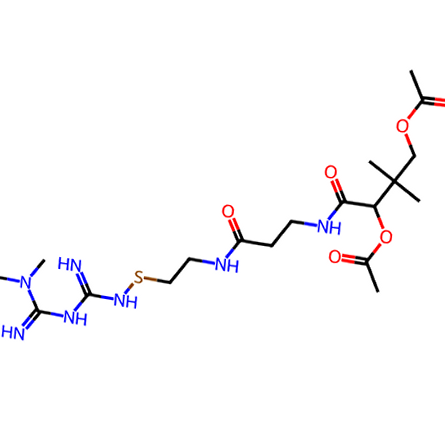 CC(=O)OCC(C)(C)C(OC(C)=O)C(=O)NCCC(=O)NCCSNC(=N)NC(=N)N(C)C